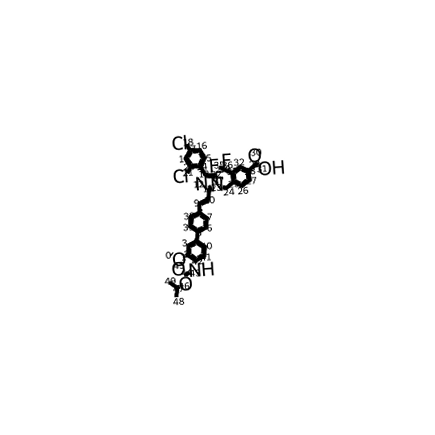 COc1cc(-c2ccc(C=Cc3nc(-c4ccc(Cl)cc4Cl)cn3Cc3ccc(C(=O)O)cc3C(F)(F)F)cc2)ccc1NC(=O)OC(C)C